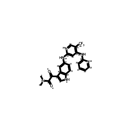 CN(C)C(=O)C(=O)c1c[nH]c2ccc(Nc3cc(Nc4ccccn4)c(C(F)(F)F)cn3)cc12